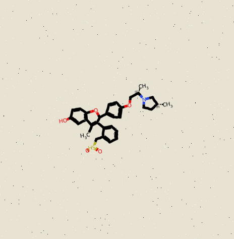 CC1=C(c2ccccc2C[SH](=O)=O)C(c2ccc(OC[C@H](C)N3CC[C@@H](C)C3)cc2)Oc2ccc(O)cc21